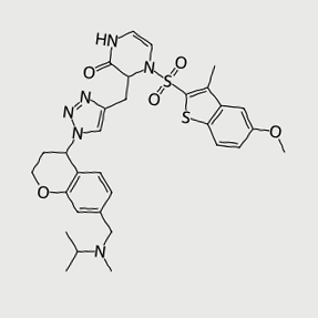 COc1ccc2sc(S(=O)(=O)N3C=CNC(=O)C3Cc3cn(C4CCOc5cc(CN(C)C(C)C)ccc54)nn3)c(C)c2c1